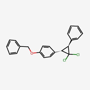 ClC1(Cl)[C@H](c2ccccc2)[C@H]1c1ccc(OCc2ccccc2)cc1